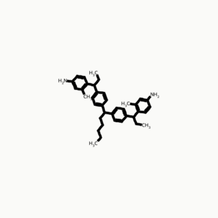 CCCCCC(c1ccc(C(CC)c2ccc(N)cc2C)cc1)c1ccc(C(CC)c2ccc(N)cc2C)cc1